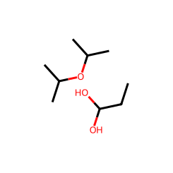 CC(C)OC(C)C.CCC(O)O